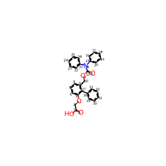 O=C(O)COc1cccc(COC(=O)N(c2ccccc2)c2ccccc2)c1-c1ccccc1